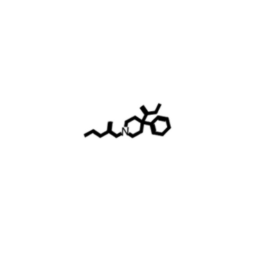 C=C(CCC)CN1CCC(C(=C)CC)(C2=CCCC=C2)CC1